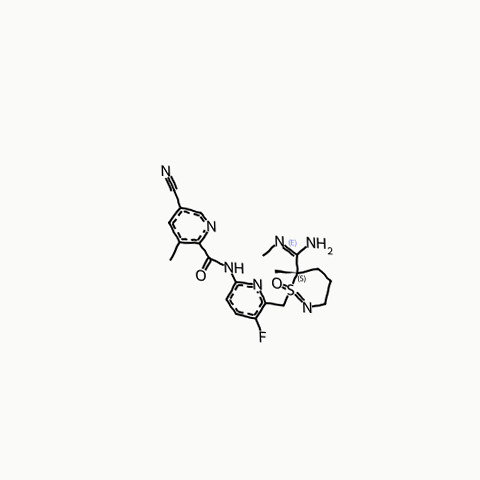 C/N=C(/N)[C@]1(C)CCCN=S1(=O)Cc1nc(NC(=O)c2ncc(C#N)cc2C)ccc1F